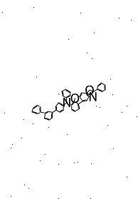 c1ccc(-c2cccc(-c3ccc(N(c4ccccc4)c4cccc5c4oc4cc6oc(-c7ccccc7)nc6cc45)cc3)c2)cc1